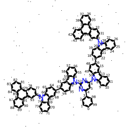 c1ccc(-c2cc(-n3c4ccccc4c4cc(-c5ccc6c(c5)c5ccccc5n6-c5ccc6c7ccccc7c7ccccc7c6c5)ccc43)nc(-n3c4ccccc4c4cc(-c5ccc6c(c5)c5ccccc5n6-c5ccc6c7ccccc7c7ccccc7c6c5)ccc43)n2)cc1